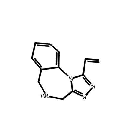 C=Cc1nnc2n1-c1ccccc1CNC2